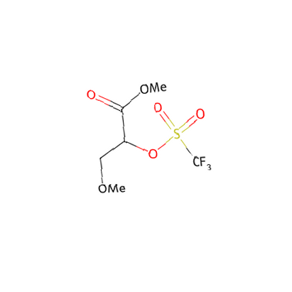 COCC(OS(=O)(=O)C(F)(F)F)C(=O)OC